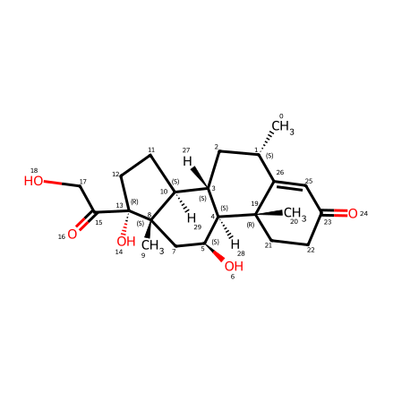 C[C@H]1C[C@@H]2[C@H]([C@@H](O)C[C@@]3(C)[C@H]2CC[C@]3(O)C(=O)CO)[C@@]2(C)CCC(=O)C=C12